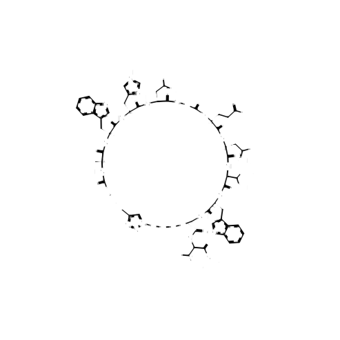 CC(C)C[C@@H]1NC(=O)[C@H](Cc2c[nH]cn2)NC(=O)[C@H](Cc2c[nH]c3ccccc23)NC(=O)[C@H](C)NC(=O)CCCc2cn(nn2)CCCC[C@@H](C(=O)NC(C(N)=O)[C@@H](C)O)NC(=O)[C@H](Cc2c[nH]c3ccccc23)NC(=O)C(C(C)C)NC(=O)[C@H](CC(C)C)NC(=O)[C@H](CCC(=O)O)NC(=O)CNC1=O